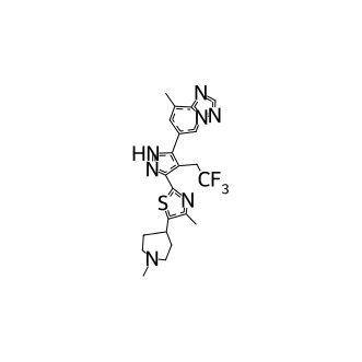 Cc1nc(-c2n[nH]c(-c3cc(C)c4ncnn4c3)c2CC(F)(F)F)sc1C1CCN(C)CC1